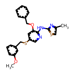 COc1cccc(CSc2cnc(Nc3nc(C)cs3)c(OCc3ccccc3)c2)c1